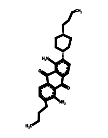 CCCCc1ccc2c(c1N)C(=O)c1ccc([C@H]3CC[C@H](CCCC)CC3)c(N)c1C2=O